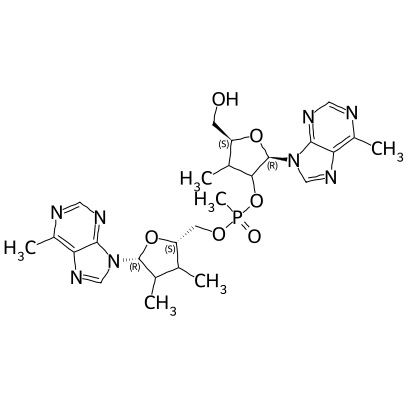 Cc1ncnc2c1ncn2[C@@H]1O[C@H](COP(C)(=O)OC2C(C)[C@@H](CO)O[C@H]2n2cnc3c(C)ncnc32)C(C)C1C